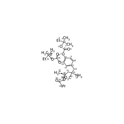 CCC(C)(C)OC(=O)Oc1ccc(CC(N)(C[C@H](C)OC(=O)C(C)C)C(=O)O)cc1OC(=O)OC(C)(C)CC